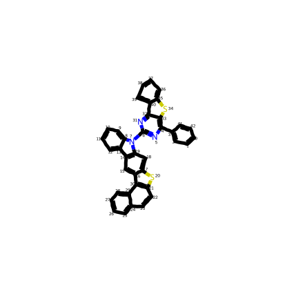 c1ccc(-c2nc(-n3c4ccccc4c4cc5c(cc43)sc3ccc4ccccc4c35)nc3c2sc2ccccc23)cc1